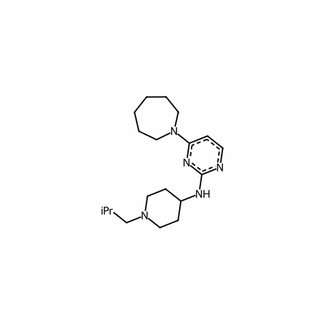 CC(C)CN1CCC(Nc2nccc(N3CCCCCC3)n2)CC1